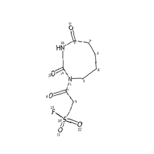 O=C1CCCCN(C(=O)CS(=O)(=O)F)C(=O)N1